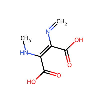 C=N/C(C(=O)O)=C(\NC)C(=O)O